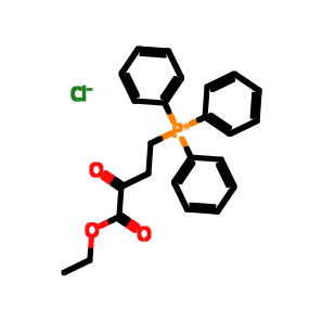 CCOC(=O)C(=O)CC[P+](c1ccccc1)(c1ccccc1)c1ccccc1.[Cl-]